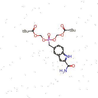 CC(C)(C)C(=O)OCOP(=O)(Cc1ccc2[nH]c(C(N)=O)cc2c1)OCOC(=O)C(C)(C)C